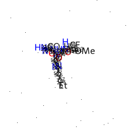 CCC1CCC(C2CC=C(c3cnc(-c4ccc(CN(CC(=O)N[C@@H](Cc5c[nH]cn5)C(=O)O)C(=O)c5ccc(NC(=O)Cc6ccc(OC)cc6C(F)(F)F)cc5)cc4)nc3)CC2)CC1